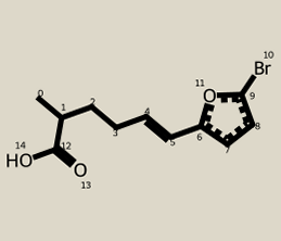 CC(CCC=Cc1ccc(Br)o1)C(=O)O